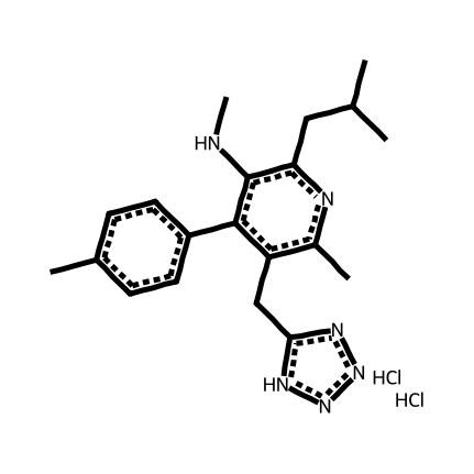 CNc1c(CC(C)C)nc(C)c(Cc2nnn[nH]2)c1-c1ccc(C)cc1.Cl.Cl